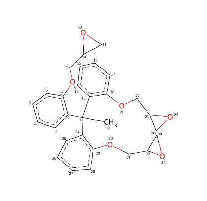 CC(c1ccccc1OCC1CO1)(c1ccccc1OCC1CO1)c1ccccc1OCC1CO1